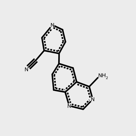 N#Cc1cnccc1-c1ccc2ncnc(N)c2c1